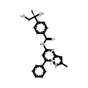 Cc1cc2nc(NC(=O)c3ccc([C@@](C)(O)CO)cc3)cc(-c3ccccc3)n2n1